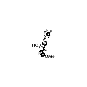 COc1ccc2nccc([C@H](F)CC[C@@H]3CCN(CCSc4c(F)cc(F)c(F)c4F)C[C@@H]3C(=O)O)c2c1